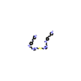 CN1C=CC(/C=C/c2ccc(N(C)CCCn3cc[n+](CCSSCC[n+]4ccn(CCCN(C)c5ccc(/C=C/c6cc[n+](C)cc6)cc5)c4)c3)cc2)=CC1